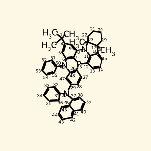 CC(C)(C)c1cc2c3c(c1)N1c4c(cccc4C4(C)CCCCC14C)P3c1ccc(N(c3ccccc3)c3cccc4ccccc34)cc1N2c1ccccc1